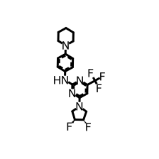 F[C@H]1CN(c2cc(C(F)(F)F)nc(Nc3ccc(N4CCCCC4)cc3)n2)C[C@@H]1F